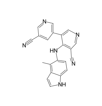 Cc1c(Nc2c(C#N)cncc2-c2cncc(C#N)c2)ccc2[nH]ccc12